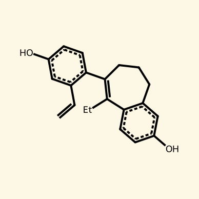 C=Cc1cc(O)ccc1C1=C(CC)c2ccc(O)cc2CCC1